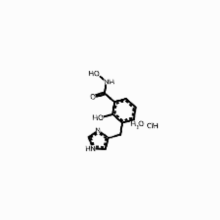 Cl.O.O=C(NO)c1cccc(Cc2c[nH]cn2)c1O